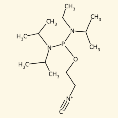 [C-]#[N+]CCOP(N(CC)C(C)C)N(C(C)C)C(C)C